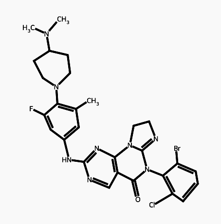 Cc1cc(Nc2ncc3c(n2)N2CCN=C2N(c2c(Cl)cccc2Br)C3=O)cc(F)c1N1CCC(N(C)C)CC1